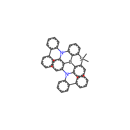 C[Si]1(C)c2cccc3c2B2c4c(cccc4N(c4ccccc4-c4ccccc4)c4cccc1c42)N3c1ccccc1-c1ccccc1